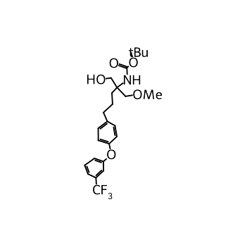 COCC(CO)(CCCc1ccc(Oc2cccc(C(F)(F)F)c2)cc1)NC(=O)OC(C)(C)C